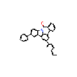 C=C(/C=C\C=C/C)c1cc2c3ccccc3c(=O)n3c4ccc(-c5ccccc5)cc4c(c1)c23